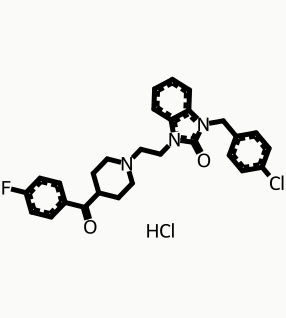 Cl.O=C(c1ccc(F)cc1)C1CCN(CCn2c(=O)n(Cc3ccc(Cl)cc3)c3ccccc32)CC1